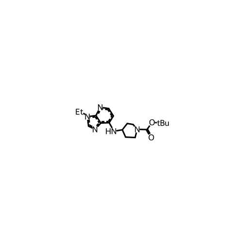 CCn1cnc2c(NC3CCN(C(=O)OC(C)(C)C)CC3)ccnc21